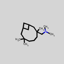 CN(C)CC1(C)CCCC(C)(C)CC2CC(C2)C1